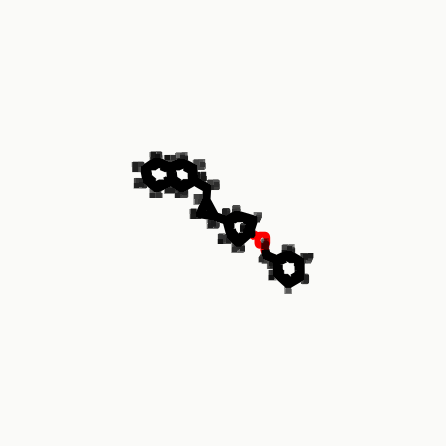 c1ccc(COc2ccc(C3CC3Cc3ccc4ccccc4c3)cc2)cc1